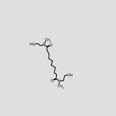 CN(CCO)C(=O)CCCCCCCCC(=O)N(C)CCO